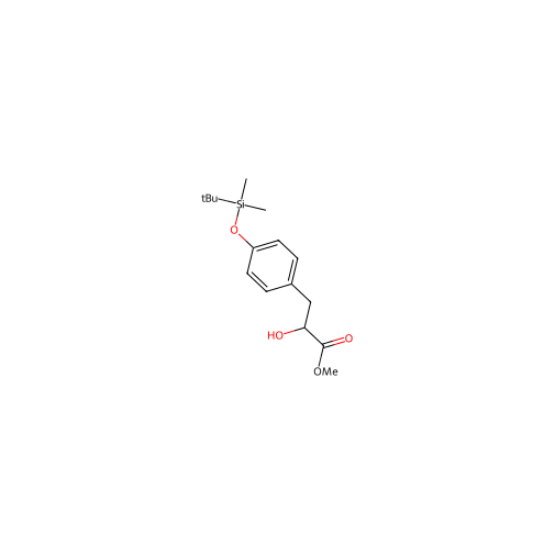 COC(=O)C(O)Cc1ccc(O[Si](C)(C)C(C)(C)C)cc1